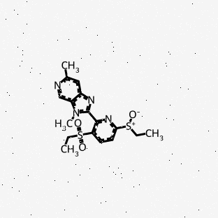 CC[S+]([O-])c1ccc(S(=O)(=O)CC)c(-c2nc3cc(C)ncc3n2C)n1